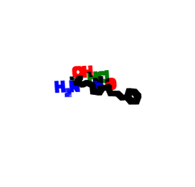 Cl.Cn1c(CC[C@@](C)(N)CO)ccc1C(=O)CCCc1ccccc1